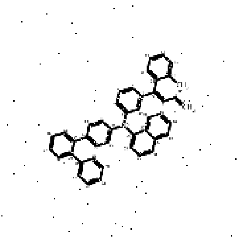 C=C/C=C(/c1cccc(N(c2ccc(-c3ccccc3-c3ccccc3)cc2)c2cccc3ccccc23)c1)c1ccccc1C